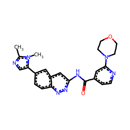 Cc1ncc(-c2ccc3nnc(NC(=O)c4ccnc(N5CCOCC5)c4)cc3c2)n1C